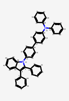 c1ccc(-c2c(-c3ccccc3)n(-c3ccc(-c4ccc(N(c5ccccc5)c5ccccc5)cc4)cc3)c3ccccc23)cc1